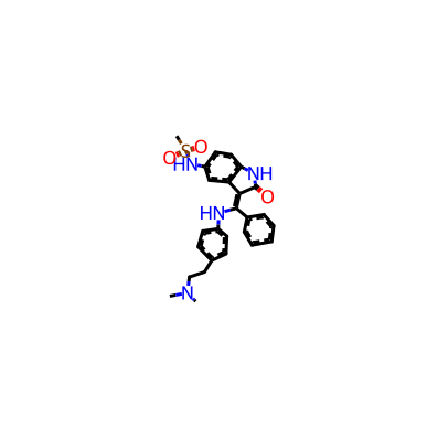 CN(C)CCc1ccc(NC(=C2C(=O)Nc3ccc(NS(C)(=O)=O)cc32)c2ccccc2)cc1